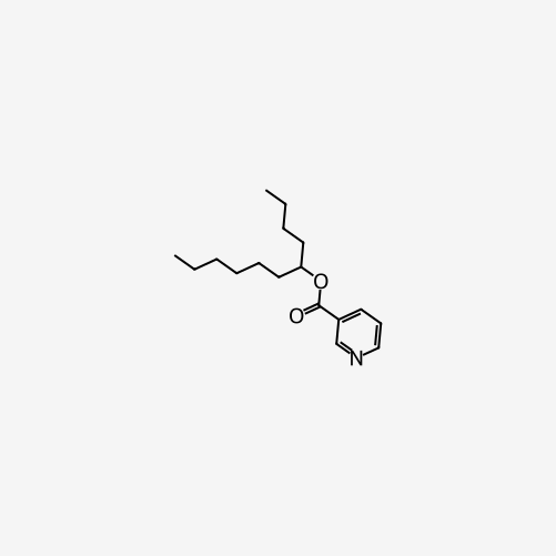 CCCCCCC(CCCC)OC(=O)c1cccnc1